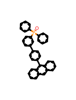 O=P(c1ccccc1)(c1ccccc1)c1cccc(-c2ccc(-c3c4ccccc4cc4ccccc34)cc2)c1